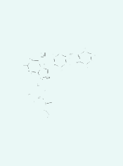 C=CC(=O)N1CCC[C@@H](n2nc(-c3ccc(Oc4cccc(C)c4)cc3)c3c(N)ncnc32)C1